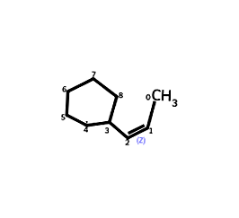 C/C=C\C1[CH]CCCC1